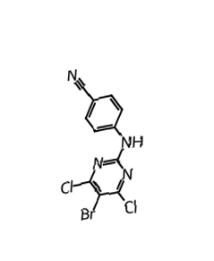 N#Cc1ccc(Nc2nc(Cl)c(Br)c(Cl)n2)cc1